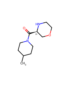 CC1CCN(C(=O)[C@@H]2COCCN2)CC1